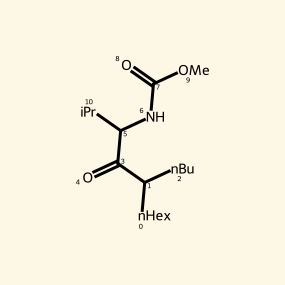 CCCCCCC(CCCC)C(=O)C(NC(=O)OC)C(C)C